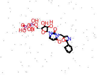 O=c1ccn([C@@H]2O[C@H](COP(=O)(O)OP(=O)(O)O)C(O)C2O)c(=O)n1Cc1cnc(-c2ccccc2)o1